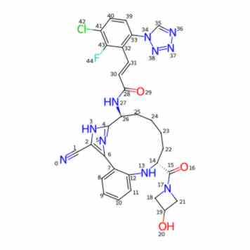 N#Cc1[nH]c2nc1-c1ccccc1N[C@@H](C(=O)N1CC(O)C1)CCCC[C@@H]2NC(=O)/C=C/c1c(-n2cnnn2)ccc(Cl)c1F